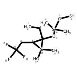 CCC1(O[Si](C)(C)OS)C(CC(F)(F)F)[Si]1(C)O